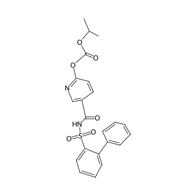 CC(C)OC(=O)Oc1ccc(C(=O)NS(=O)(=O)c2ccccc2-c2ccccc2)cn1